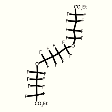 CCOC(=O)C(F)(F)C(F)(F)C(F)(F)C(F)(F)OC(F)(F)C(F)(F)C(F)(F)C(F)(F)OC(F)(F)C(F)(F)C(F)(F)C(F)(F)C(=O)OCC